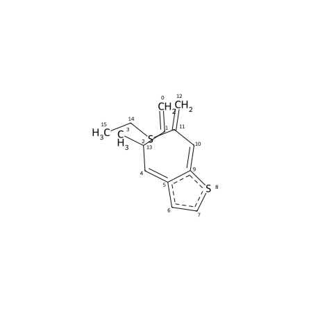 C=CC(C)/C=c1/ccs/c1=C/C(=C)SCC